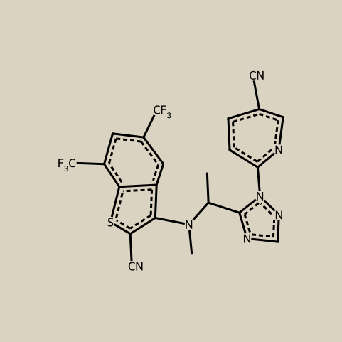 CC(c1ncnn1-c1ccc(C#N)cn1)N(C)c1c(C#N)sc2c(C(F)(F)F)cc(C(F)(F)F)cc12